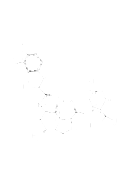 C=CCC(NC(=O)C(O)Cc1ccc(O)c(O)c1)C(=O)N1CCCC1C(=O)O[C@@H]1C[C@H](C)CC[C@H]1C(C)C